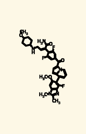 COc1cc2c(nc(C)n2C)c(F)c1-c1cccn2c(C(=O)c3cc(F)c(C(=CCNC4CCC(OC)CC4)C(N)=O)c(F)c3)ccc12